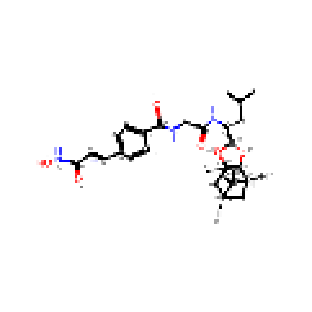 CC(C)C[C@H](NC(=O)CNC(=O)c1ccc(/C=C/C(=O)NO)cc1)B1OC2[C@@H]3C[C@H](C[C@]2(C)O1)C3(C)C